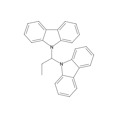 CCC(n1c2ccccc2c2ccccc21)n1c2ccccc2c2ccccc21